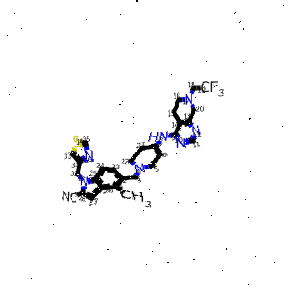 Cc1c(CN2CCC(Nc3ncnc4c3CCN(CC(F)(F)F)C4)CC2)ccc2c1cc(C#N)n2Cc1cscn1